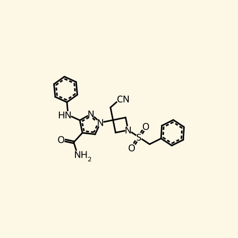 N#CCC1(n2cc(C(N)=O)c(Nc3ccccc3)n2)CN(S(=O)(=O)Cc2ccccc2)C1